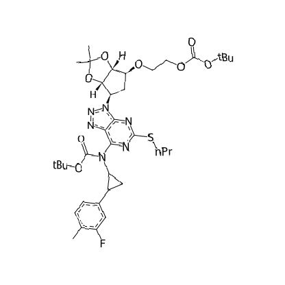 CCCSc1nc(N(C(=O)OC(C)(C)C)C2CC2c2ccc(C)c(F)c2)c2nnn([C@@H]3C[C@H](OCCOC(=O)OC(C)(C)C)[C@H]4OC(C)(C)O[C@H]43)c2n1